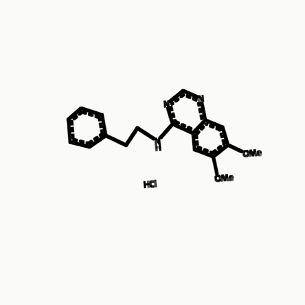 COc1cc2ncnc(NCCc3ccccc3)c2cc1OC.Cl